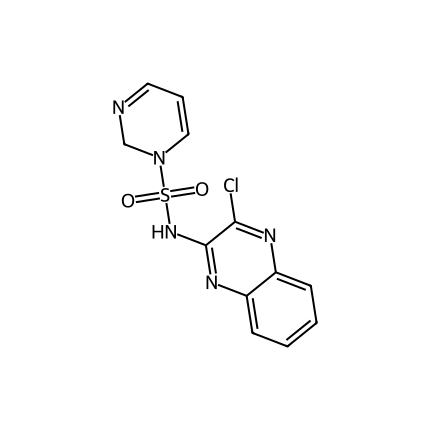 O=S(=O)(Nc1nc2ccccc2nc1Cl)N1C=CC=NC1